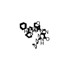 CC[C@@]12COC([C@H](n3cnc4c(=O)[nH]c(/N=C/N(C)C)nc43)O1)[C@H]2O[P@]1O[C@@H](c2ccccc2)[C@H]2CCCN21